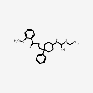 CCNC(=N)NC1CCC(CNC(=O)c2ccccc2OC)(c2ccccc2)CC1